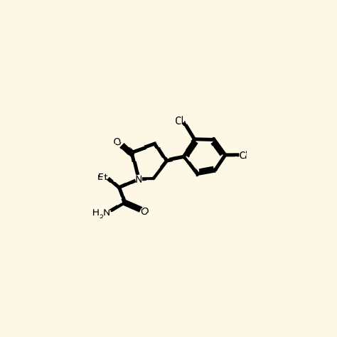 CCC(C(N)=O)N1CC(c2ccc(Cl)cc2Cl)CC1=O